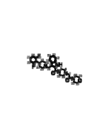 O=C(CN1CCN(C(=O)c2[nH]c3ccccc3c2CN2CCC(c3c(F)cccc3F)CC2)CC1)N1CCOCC1